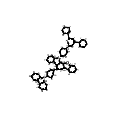 c1ccc(-c2cc(-c3ccccc3)nc(-c3ccc(-n4c5ccccc5c5c(-c6ccc(-n7c8ccccc8c8ccccc87)cc6)cc6c7ccccc7oc6c54)cc3)c2)cc1